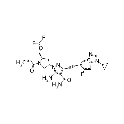 C=CC(=O)N1C[C@@H](n2nc(C#Cc3cc4ncn(C5CC5)c4cc3F)c(C(N)=O)c2N)C[C@@H]1COC(F)F